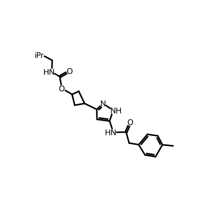 Cc1ccc(CC(=O)Nc2cc(C3CC(OC(=O)NCC(C)C)C3)n[nH]2)cc1